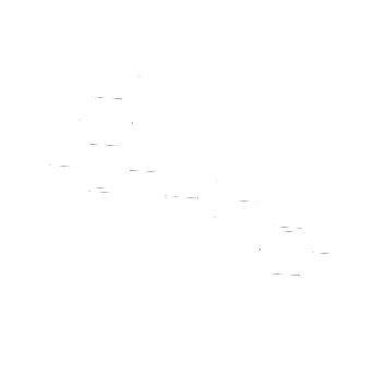 Nc1cc2c(CNC3CC(Oc4ccc(F)c(C(F)(F)F)c4)C3)c(F)cc(CO)c2cn1